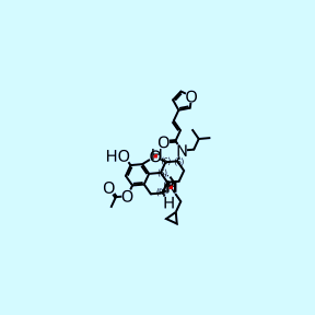 CC(=O)Oc1cc(O)c2c3c1C[C@@H]1[C@@H]4CC[C@H](N(CC(C)C)C(=O)C=Cc5ccoc5)[C@@H](O2)[C@]34CCN1CC1CC1